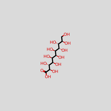 O=C(O)[C@H](O)[C@H](O)[C@H](O)[C@@H](O)[C@H](O)[C@@H](O)[C@@H](O)[C@H](O)[C@H](O)CO